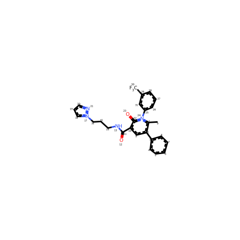 Cc1c(-c2ccccc2)cc(C(=O)NCCCn2cccn2)c(=O)n1-c1cccc(C(F)(F)F)c1